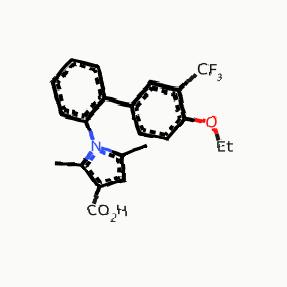 CCOc1ccc(-c2ccccc2-n2c(C)cc(C(=O)O)c2C)cc1C(F)(F)F